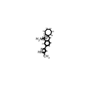 Cc1cc(-c2ccc(CC3(O)CCCCCC3)c(C(N)=O)c2)n[nH]1